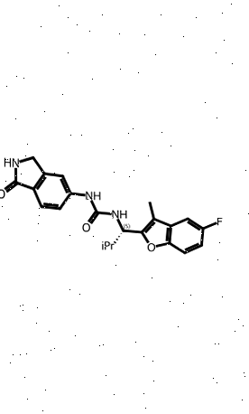 Cc1c([C@@H](NC(=O)Nc2ccc3c(c2)CNC3=O)C(C)C)oc2ccc(F)cc12